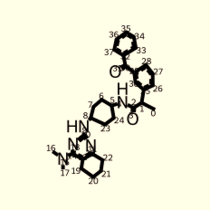 CC(C(=O)NC1CCC(Nc2nc3c(c(N(C)C)n2)CCCC3)CC1)c1cccc(C(=O)c2ccccc2)c1